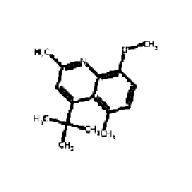 COc1ccc(C)c2c(C(C)(C)C)cc(C)nc12